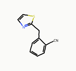 N#Cc1ccccc1Cc1nccs1